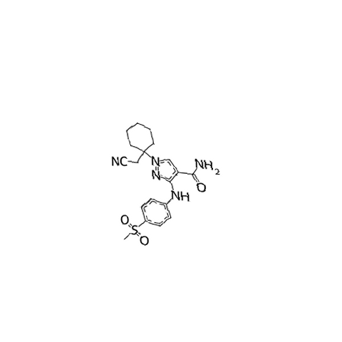 CS(=O)(=O)c1ccc(Nc2nn(C3(CC#N)CCCCC3)cc2C(N)=O)cc1